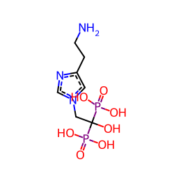 NCCc1cn(CC(O)(P(=O)(O)O)P(=O)(O)O)cn1